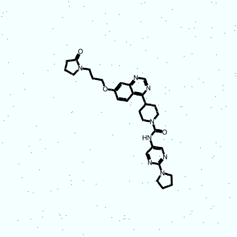 O=C1CCCN1CCCOc1ccc2c(C3CCN(C(=O)Nc4cnc(N5CCCC5)nc4)CC3)ncnc2c1